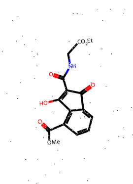 CCOC(=O)CNC(=O)C1=C(O)c2c(C(=O)OC)cccc2C1=O